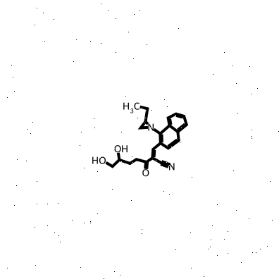 CCC1CN1c1c(/C=C(\C#N)C(=O)CCC(O)CO)ccc2ccccc12